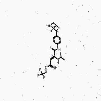 CC(C)N/C(=C\C(=N)OCC(F)(F)F)C(=O)Nc1ccc([C@@H]2OC3CN[C@H]32)cc1